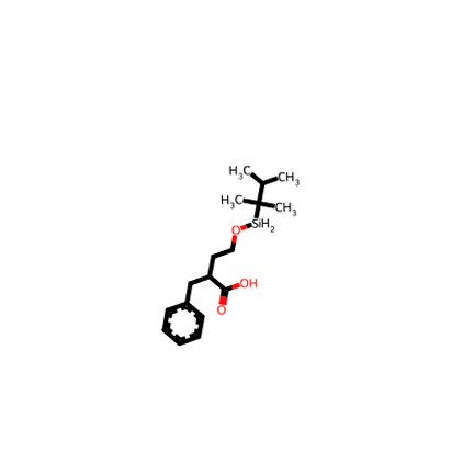 CC(C)C(C)(C)[SiH2]OCCC(Cc1ccccc1)C(=O)O